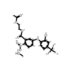 CC(=O)OCCOC(=O)c1cc(Oc2ccc(C(F)(F)F)cc2Cl)ccc1[N+](=O)[O-].CO